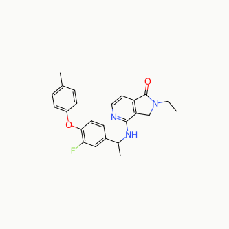 CCN1Cc2c(ccnc2NC(C)c2ccc(Oc3ccc(C)cc3)c(F)c2)C1=O